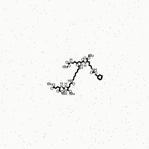 CC(C)(C)OC(=O)CCC(NC(=O)NC(CCC(=O)NCCCCCCCC(=O)NC(CCCCNC(=O)OC(C)(C)C)C(=O)NC(CCCCNC(=O)OCc1ccccc1)C(=O)OC(C)(C)C)C(=O)OC(C)(C)C)C(=O)OC(C)(C)C